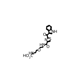 O=C(O)NCCOCCNC(=O)c1csc(C(=O)c2c[nH]c3ccccc23)n1